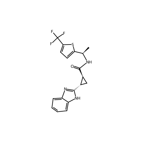 C[C@@H](NC(=O)[C@H]1C[C@@H]1c1nc2ccccc2[nH]1)c1ccc(C(F)(F)F)s1